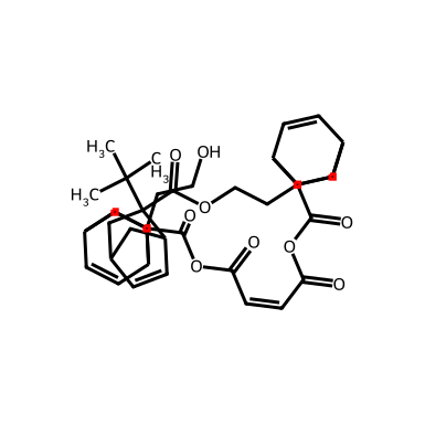 CC(C)(C)C1(C(=O)OCCC2(C(=O)OC(=O)/C=C\C(=O)OC(=O)C3(CCO)CC4C=CC3CC4)CC3C=CC2CC3)CC2C=CC1C2